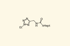 CCCCCCCC(=O)NCc1nnn(CC)n1